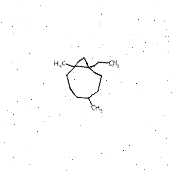 CCC12CCC(C)CCCC1(C)C2